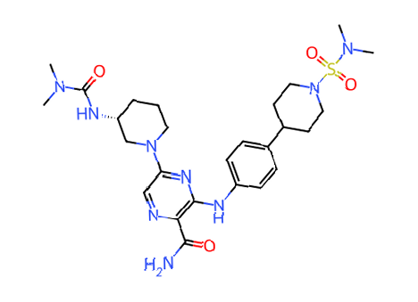 CN(C)C(=O)N[C@@H]1CCCN(c2cnc(C(N)=O)c(Nc3ccc(C4CCN(S(=O)(=O)N(C)C)CC4)cc3)n2)C1